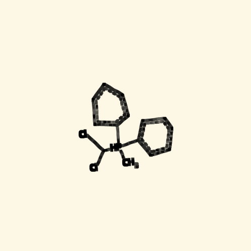 C[PH](c1ccccc1)(c1ccccc1)C(Cl)Cl